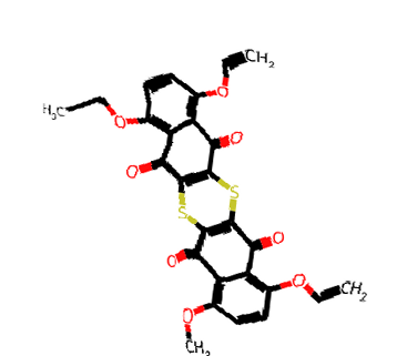 C=COc1ccc(OC)c2c(=O)c3sc4c(=O)c5c(OCC)ccc(OC=C)c5c(=O)c4sc3c(=O)c12